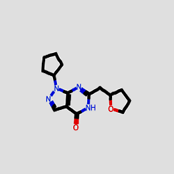 O=c1[nH]c(CC2CCCO2)nc2c1cnn2C1CCCC1